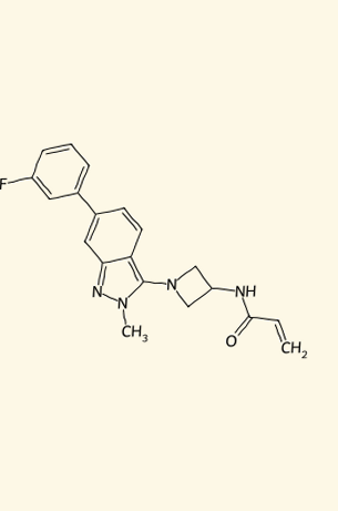 C=CC(=O)NC1CN(c2c3ccc(-c4cccc(F)c4)cc3nn2C)C1